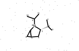 CC(C)[C@@H]1CC2CC2N1C(C)C